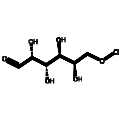 O=C[C@H](O)[C@@H](O)[C@@H](O)[C@H](O)COCl